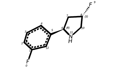 Fc1cccc([C@H]2C[C@H](F)CN2)c1